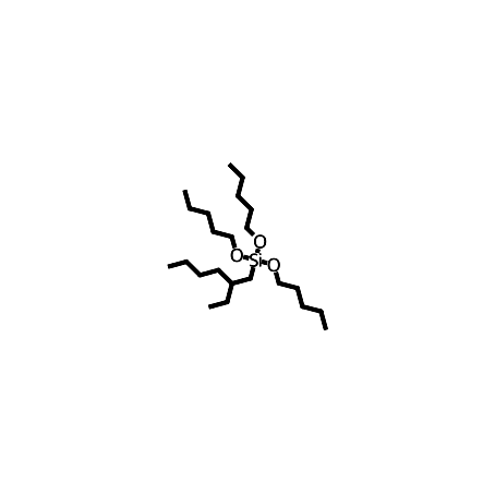 CCCCCO[Si](CC(CC)CCCC)(OCCCCC)OCCCCC